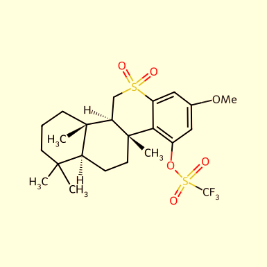 COc1cc(OS(=O)(=O)C(F)(F)F)c2c(c1)S(=O)(=O)C[C@@H]1[C@@]3(C)CCCC(C)(C)[C@@H]3CC[C@@]21C